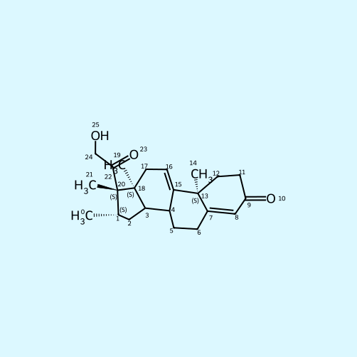 C[C@H]1CC2C3CCC4=CC(=O)CC[C@]4(C)C3=CC[C@]2(C)[C@@]1(C)C(=O)CO